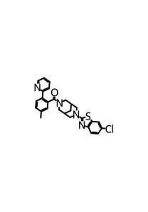 Cc1ccc(-c2ccccn2)c(C(=O)N2CC3CC(C2)CN(c2nc4ccc(Cl)cc4s2)C3)c1